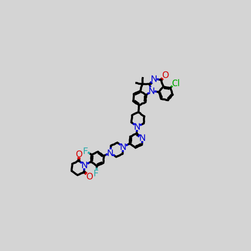 CC1(C)c2ccc(C3CCN(c4cc(N5CCN(c6cc(F)c(N7C(=O)CCCC7=O)c(F)c6)CC5)ccn4)CC3)cc2-n2c1nc(=O)c1c(Cl)cccc12